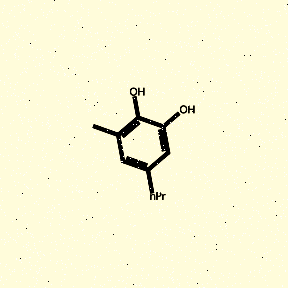 CCCc1cc(C)c(O)c(O)c1